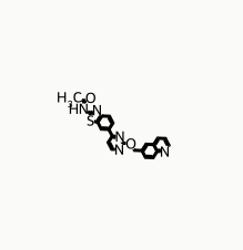 CC(=O)Nc1nc2ccc(-c3ccnc(OCc4ccc5ncccc5c4)n3)cc2s1